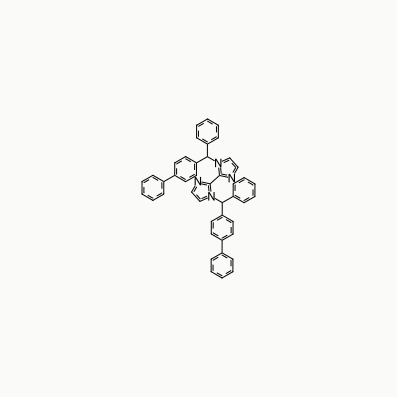 c1ccc(-c2ccc(C(c3ccccc3)n3ccnc3-c3nccn3C(c3ccccc3)c3ccc(-c4ccccc4)cc3)cc2)cc1